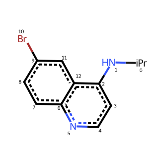 CC(C)Nc1ccnc2ccc(Br)cc12